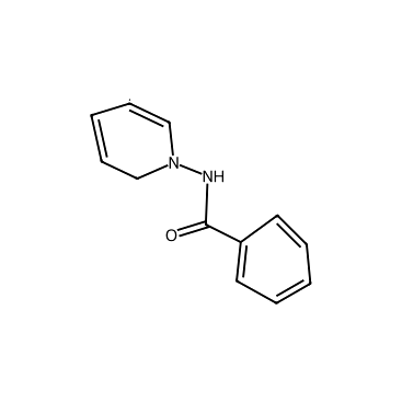 O=C(NN1C=[C]C=CC1)c1ccccc1